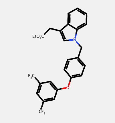 CCOC(=O)Cc1cn(Cc2ccc(Oc3cc(C(F)(F)F)cc(C(F)(F)F)c3)cc2)c2ccccc12